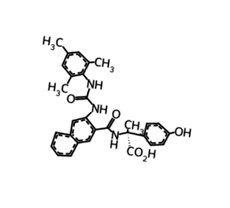 Cc1cc(C)c(NC(=O)Nc2cc3ccccc3cc2C(=O)N[C@](C)(C(=O)O)c2ccc(O)cc2)c(C)c1